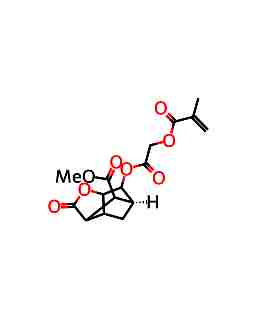 C=C(C)C(=O)OCC(=O)OC1C2OC(=O)C3C2C[C@H]1C3C(=O)OC